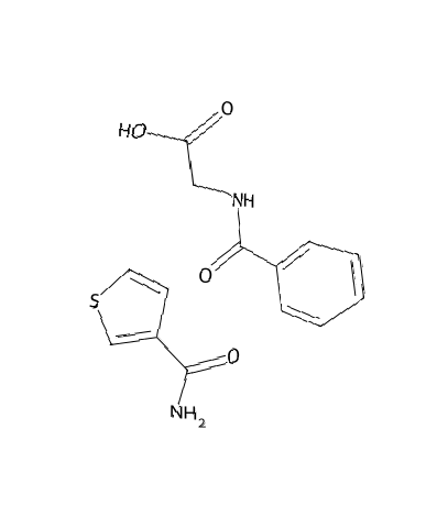 NC(=O)c1ccsc1.O=C(O)CNC(=O)c1ccccc1